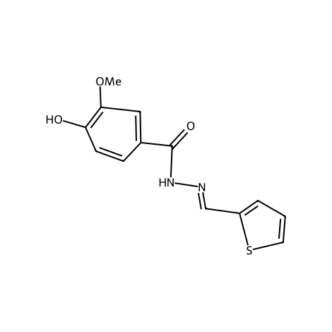 COc1cc(C(=O)NN=Cc2cccs2)ccc1O